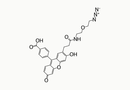 [N-]=[N+]=NCCOCCNC(=O)CCc1cc2c(-c3ccc(C(=O)O)cc3)c3ccc(=O)cc-3oc2cc1O